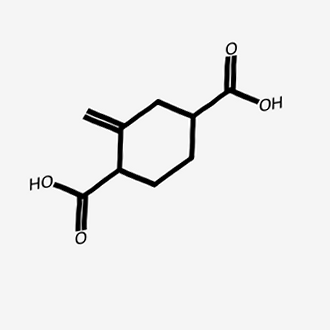 C=C1CC(C(=O)O)CCC1C(=O)O